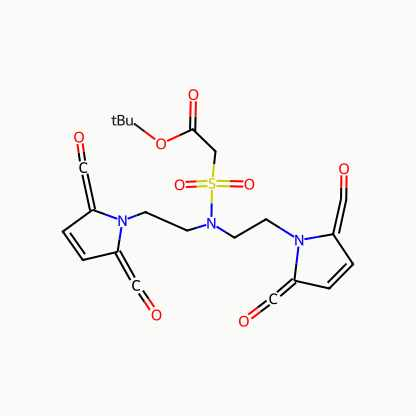 CC(C)(C)OC(=O)CS(=O)(=O)N(CCn1c(=C=O)ccc1=C=O)CCn1c(=C=O)ccc1=C=O